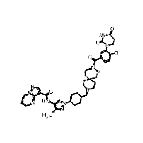 Cc1nn(C2CCC(CN3CCC4(CC3)CCN(C(=O)c3ccc(Cl)c(N5CCC(=O)NC5=O)c3)CC4)CC2)cc1NC(=O)c1cnn2cccnc12